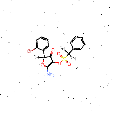 [2H]C([2H])(c1ccccc1)S(=O)(=O)OC1=C(N)O[C@]([2H])(c2ccccc2Br)C1=O